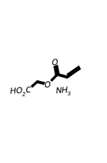 C=CC(=O)OCC(=O)O.N